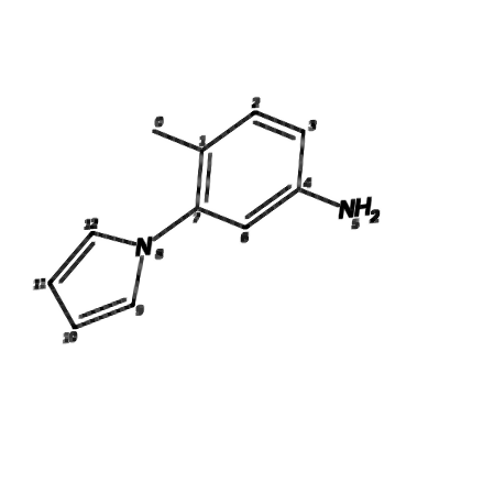 Cc1ccc(N)cc1-n1cccc1